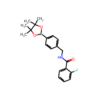 CC1(C)OB(c2ccc(CNC(=O)c3ccccc3F)cc2)OC1(C)C